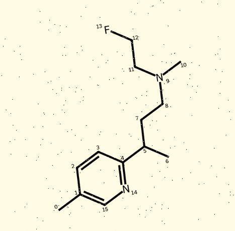 Cc1ccc(C(C)CCN(C)CCF)nc1